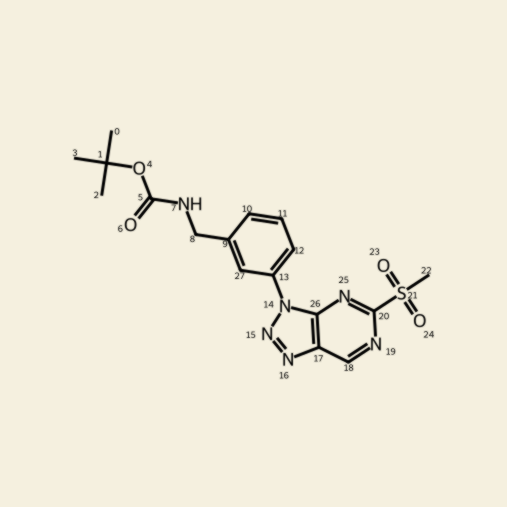 CC(C)(C)OC(=O)NCc1cccc(-n2nnc3cnc(S(C)(=O)=O)nc32)c1